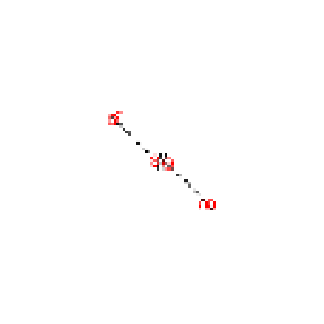 CC(C)(C)OC(=O)C=CCCCCCCCCCCCCCCCCOc1c2ccccc2c(OCCCCCCCCCCCCCCCCC=CC(=O)OC(C)(C)C)c2ccccc12